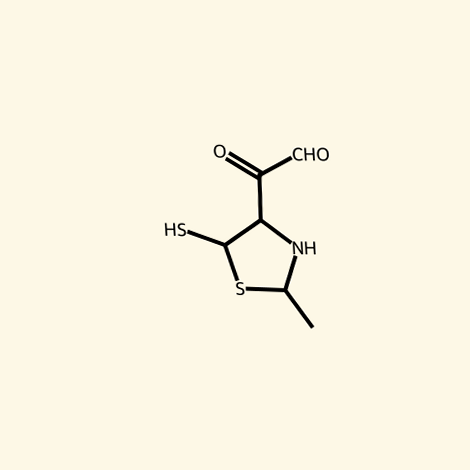 CC1NC(C(=O)C=O)C(S)S1